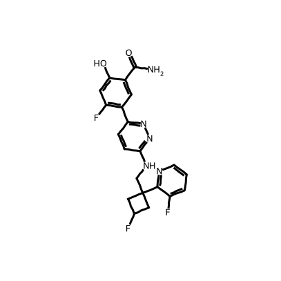 NC(=O)c1cc(-c2ccc(NCC3(c4ncccc4F)CC(F)C3)nn2)c(F)cc1O